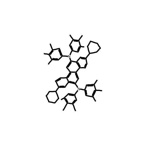 Cc1cc(N(c2cc(C)c(C)c(C)c2)c2cc3c4ccc(C5CCCCC5)cc4c(N(c4cc(C)c(C)c(C)c4)c4cc(C)c(C)c(C)c4)cc3c3ccc(C4CCCCC4)cc23)cc(C)c1C